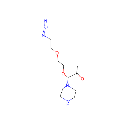 CC(=O)C(OCCOCCN=[N+]=[N-])N1CCNCC1